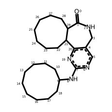 O=C1NCc2cnc(NC3CCCCCCCCC3)nc2C2CCCCCCCC12